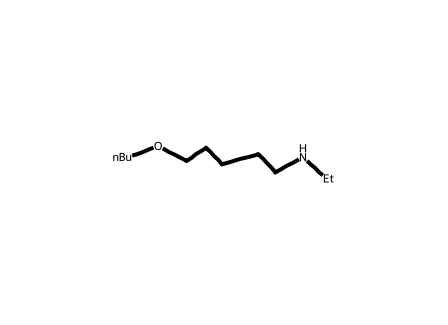 CCCCOCCCCCNCC